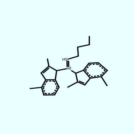 CCCC[SiH]=[Hf]([CH]1C(C)=Cc2c(C)cccc21)[CH]1C(C)=Cc2c(C)cccc21